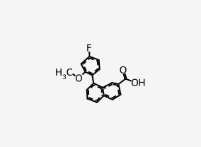 COc1cc(F)ccc1-c1cccc2ccc(C(=O)O)cc12